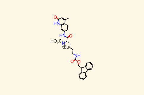 Cc1cc(=O)[nH]c2cc(NC(=O)[C@H](CCCCNC(=O)OCC3c4ccccc4-c4ccccc43)N(C(=O)O)C(C)(C)C)ccc12